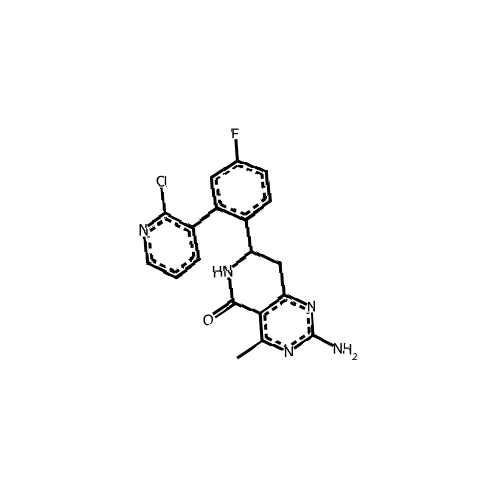 Cc1nc(N)nc2c1C(=O)NC(c1ccc(F)cc1-c1cccnc1Cl)C2